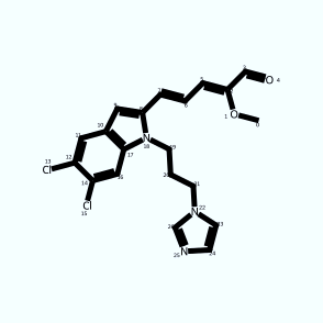 CO/C(C=O)=C\C=C\c1cc2cc(Cl)c(Cl)cc2n1CCCn1ccnc1